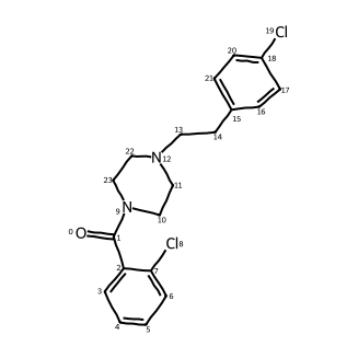 O=C(c1ccccc1Cl)N1CCN(CCc2ccc(Cl)cc2)CC1